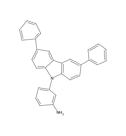 Nc1cccc(-n2c3ccc(-c4ccccc4)cc3c3cc(-c4ccccc4)ccc32)c1